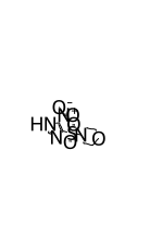 O=[N+]([O-])c1[nH]cnc1S(=O)(=O)N1CCOCC1